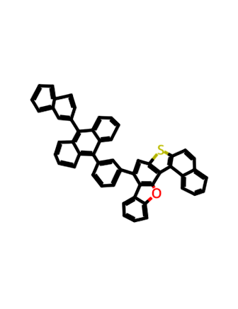 c1cc(-c2c3ccccc3c(-c3ccc4ccccc4c3)c3ccccc23)cc(-c2cc3sc4ccc5ccccc5c4c3c3oc4ccccc4c23)c1